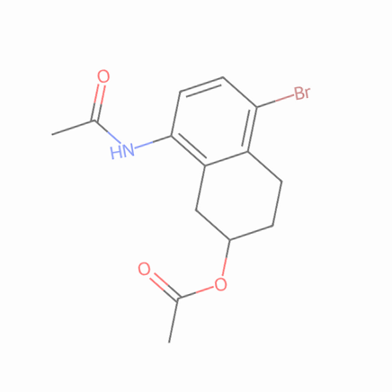 CC(=O)Nc1ccc(Br)c2c1CC(OC(C)=O)CC2